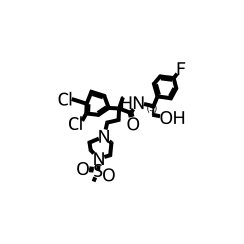 CC(CCN1CCN(S(C)(=O)=O)CC1)(C(=O)N[C@H](CO)c1ccc(F)cc1)c1ccc(Cl)c(Cl)c1